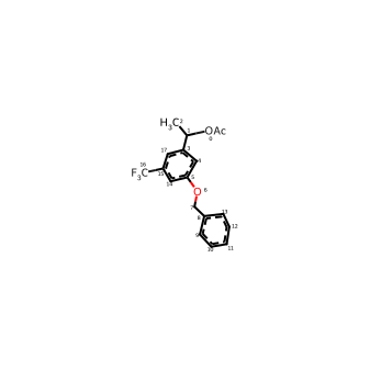 CC(=O)OC(C)c1cc(OCc2ccccc2)cc(C(F)(F)F)c1